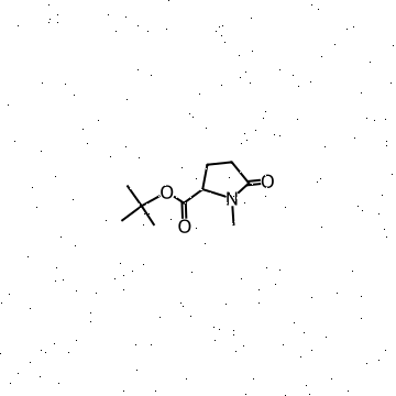 CN1C(=O)CCC1C(=O)OC(C)(C)C